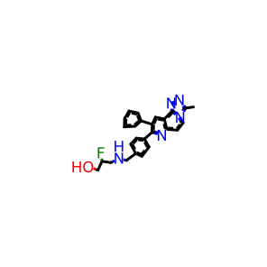 Cc1nnc2c3cc(-c4ccccc4)c(-c4ccc(CNCC(F)CO)cc4)nc3ccn12